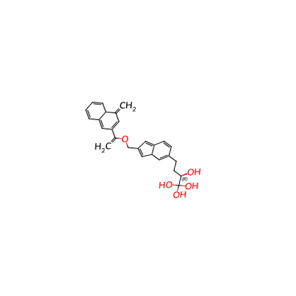 C=C(OCC1=CC2C=C(CC[C@@H](O)C(O)(O)O)C=CC2=C1)C1=CC(=C)C2C=CC=CC2=C1